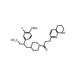 COc1ccc(C(CC(=O)O)CC2CCN(C(=O)CCc3ccc4c(n3)NCCC4)CC2)cc1F